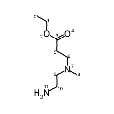 CCOC(=O)CCN(C)CCN